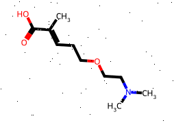 C/C(=C\CCOCCN(C)C)C(=O)O